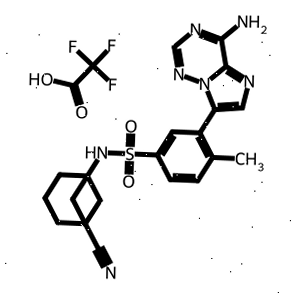 Cc1ccc(S(=O)(=O)NC23CCCC(C#N)(C2)C3)cc1-c1cnc2c(N)ncnn12.O=C(O)C(F)(F)F